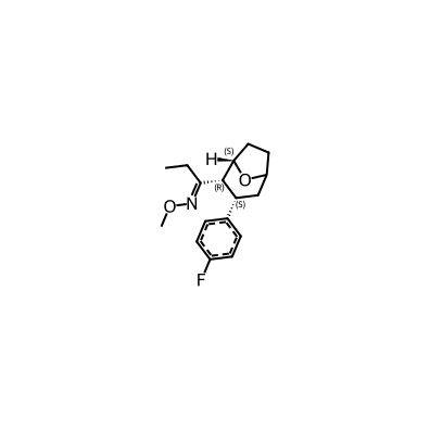 CCC(=NOC)[C@@H]1[C@@H]2CCC(C[C@@H]1c1ccc(F)cc1)O2